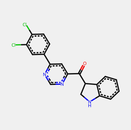 O=C(c1cc(-c2ccc(Cl)c(Cl)c2)ncn1)C1CNc2ccccc21